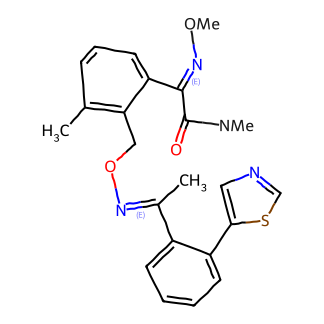 CNC(=O)/C(=N/OC)c1cccc(C)c1CO/N=C(\C)c1ccccc1-c1cncs1